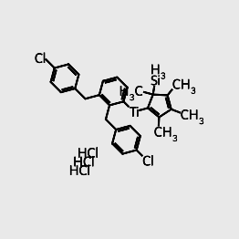 CC1=C(C)C(C)([SiH3])[C]([Ti][c]2cccc(Cc3ccc(Cl)cc3)c2Cc2ccc(Cl)cc2)=C1C.Cl.Cl.Cl